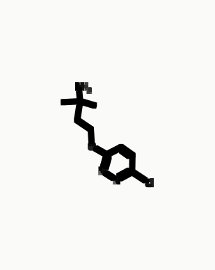 CC(C)(N)CCOc1ccc(Cl)nn1